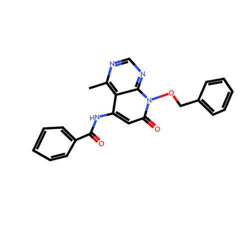 Cc1ncnc2c1c(NC(=O)c1ccccc1)cc(=O)n2OCc1ccccc1